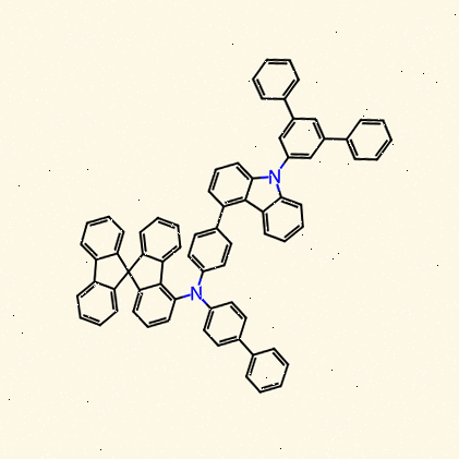 c1ccc(-c2ccc(N(c3ccc(-c4cccc5c4c4ccccc4n5-c4cc(-c5ccccc5)cc(-c5ccccc5)c4)cc3)c3cccc4c3-c3ccccc3C43c4ccccc4-c4ccccc43)cc2)cc1